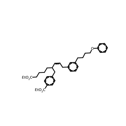 CCOC(=O)CCCCC(/C=C\Cc1cccc(CCCCOc2ccccc2)c1)Cc1ccc(C(=O)OCC)cc1